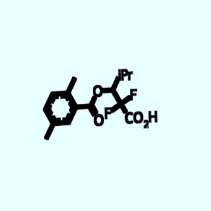 Cc1ccc(C)c(C(=O)OC(C(C)C)C(F)(F)C(=O)O)c1